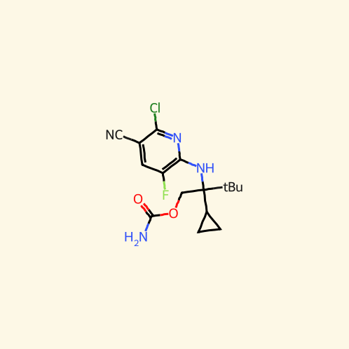 CC(C)(C)C(COC(N)=O)(Nc1nc(Cl)c(C#N)cc1F)C1CC1